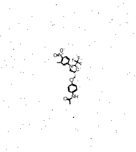 CC(=O)Nc1ccc(OC[C@@H]2CN(c3ccc([N+](=O)[O-])c(C)c3)[C@@H](C(F)(F)F)O2)cc1